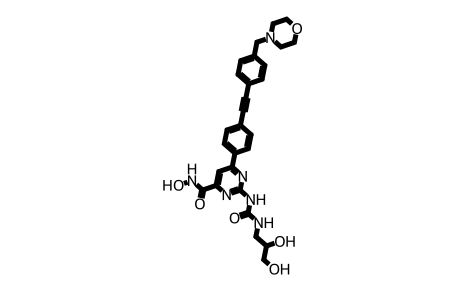 O=C(NCC(O)CO)Nc1nc(C(=O)NO)cc(-c2ccc(C#Cc3ccc(CN4CCOCC4)cc3)cc2)n1